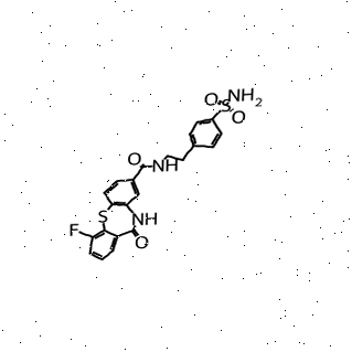 NS(=O)(=O)c1ccc(CCNC(=O)c2ccc3c(c2)NC(=O)c2cccc(F)c2S3)cc1